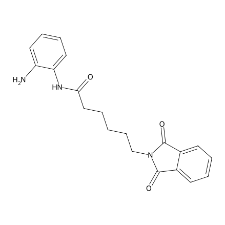 Nc1ccccc1NC(=O)CCCCCN1C(=O)c2ccccc2C1=O